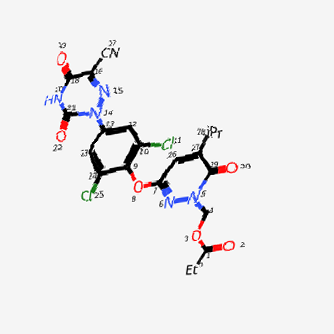 CCC(=O)OCn1nc(Oc2c(Cl)cc(-n3nc(C#N)c(=O)[nH]c3=O)cc2Cl)cc(C(C)C)c1=O